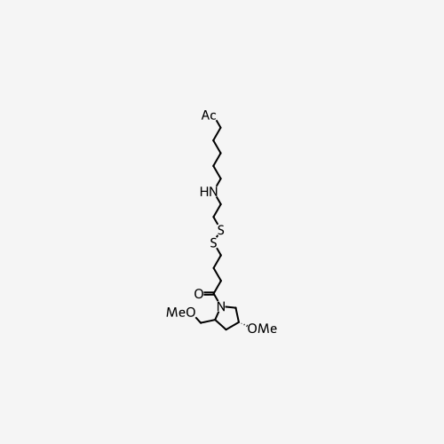 COCC1C[C@@H](OC)CN1C(=O)CCCSSCCNCCCCCC(C)=O